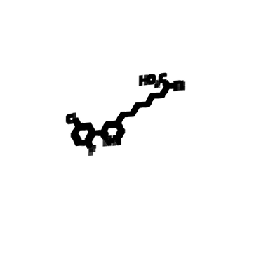 CCC(CCCCCCc1cnnc(-c2cc(Cl)ccc2F)c1)C(=O)O